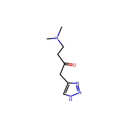 CN(C)CCC(=O)Cc1c[nH]nn1